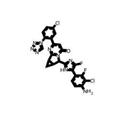 Nc1ccc(-c2[nH]c(C3C4CC4c4nc(-c5cc(Cl)ccc5-n5cnnn5)cc(=O)n43)nc2F)c(F)c1Cl